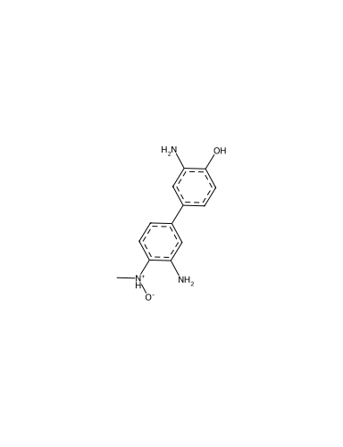 C[NH+]([O-])c1ccc(-c2ccc(O)c(N)c2)cc1N